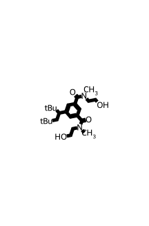 CN(CCO)C(=O)c1cc(C(=O)N(C)CCO)cc(C(CC(C)(C)C)C(C)(C)C)c1